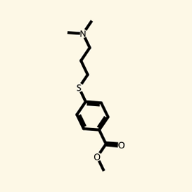 COC(=O)c1ccc(SCCCN(C)C)cc1